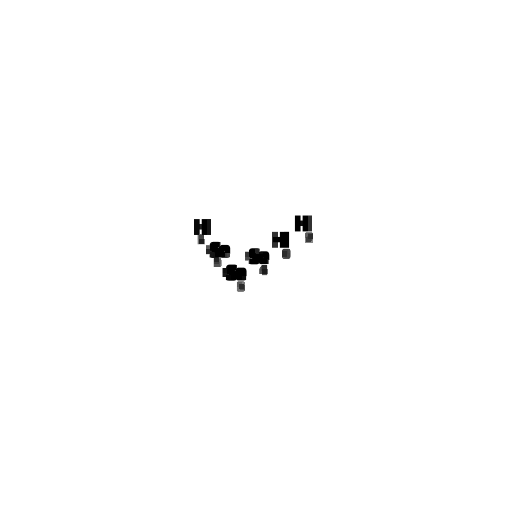 I.I.I.[Se].[Se].[Se]